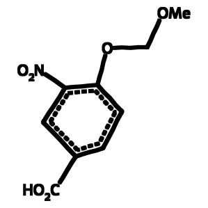 COCOc1ccc(C(=O)O)cc1[N+](=O)[O-]